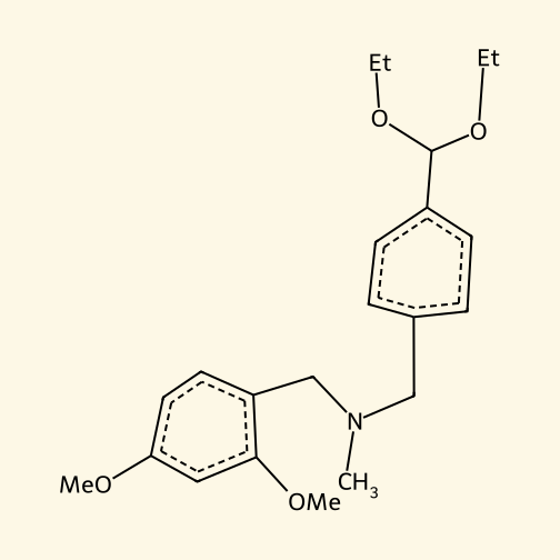 CCOC(OCC)c1ccc(CN(C)Cc2ccc(OC)cc2OC)cc1